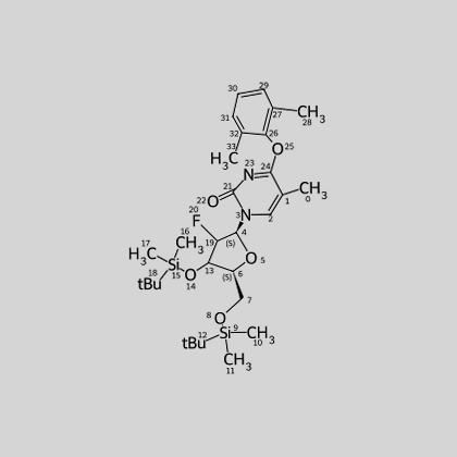 Cc1cn([C@H]2O[C@@H](CO[Si](C)(C)C(C)(C)C)C(O[Si](C)(C)C(C)(C)C)C2F)c(=O)nc1Oc1c(C)cccc1C